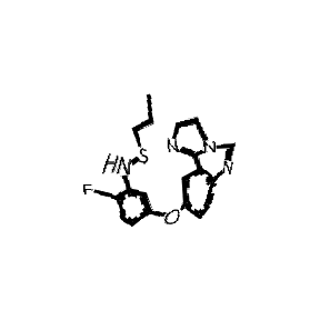 CCCSNc1cc(Oc2ccc3c(c2)C2=NCCN2C=N3)ccc1F